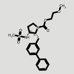 COCCOC(=O)N1CC[C@@H](NS(C)(=O)=O)[C@H]1Cc1cccc(-c2ccccc2)c1